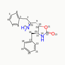 N[C@@H](Cc1ccccc1)C[C@@H]1OC(=O)N[C@H]1Cc1ccccc1